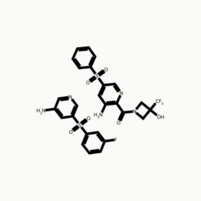 Nc1[c]ncc(S(=O)(=O)c2cccc(F)c2)c1.Nc1cc(S(=O)(=O)c2ccccc2)cnc1C(=O)N1CC(O)(C(F)(F)F)C1